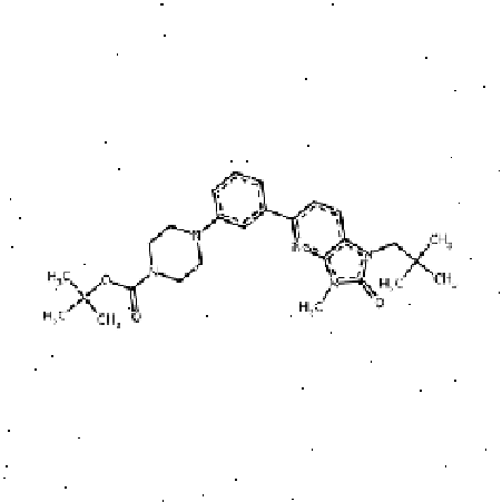 Cn1c(=O)n(CC(C)(C)C)c2ccc(-c3cccc(N4CCN(C(=O)OC(C)(C)C)CC4)c3)nc21